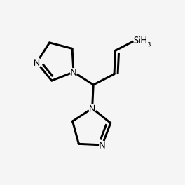 [SiH3]C=CC(N1C=NCC1)N1C=NCC1